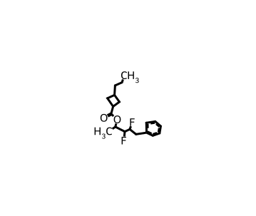 CCCC1CC(C(=O)OC(C)C(F)C(F)Cc2ccccc2)C1